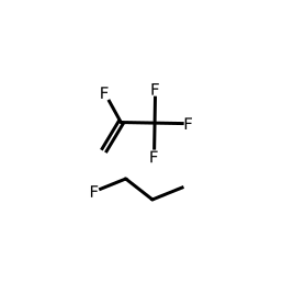 C=C(F)C(F)(F)F.CCCF